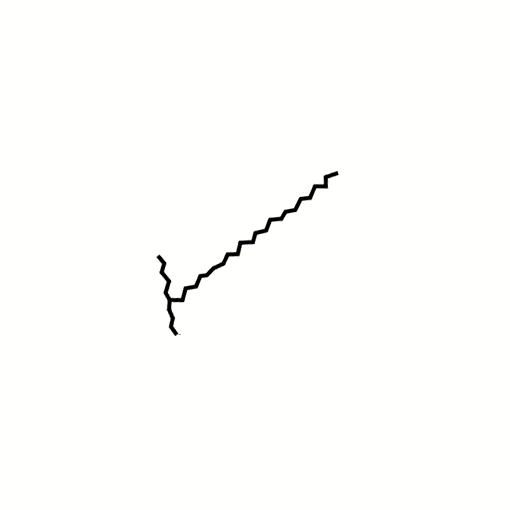 [CH2]CCCC(CCCCC)CCCCCCCCCCCCCCCCCCCCCCC